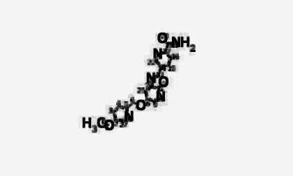 COc1ccc(COc2cnc3oc(-c4ccc(C(N)=O)nc4)nc3c2)nc1